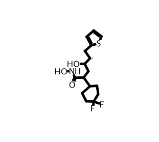 O=C(NO)C(CC(O)[CH]Cc1cccs1)C1CCC(F)(F)CC1